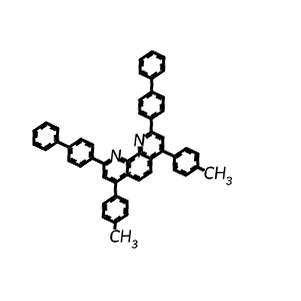 Cc1ccc(-c2cc(-c3ccc(-c4ccccc4)cc3)nc3c2ccc2c(-c4ccc(C)cc4)cc(-c4ccc(-c5ccccc5)cc4)nc23)cc1